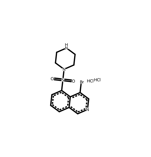 Cl.Cl.O=S(=O)(c1cccc2cncc(Br)c12)N1CCNCC1